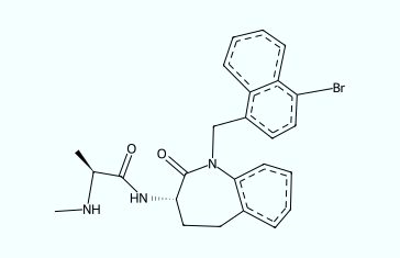 CN[C@@H](C)C(=O)N[C@H]1CCc2ccccc2N(Cc2ccc(Br)c3ccccc23)C1=O